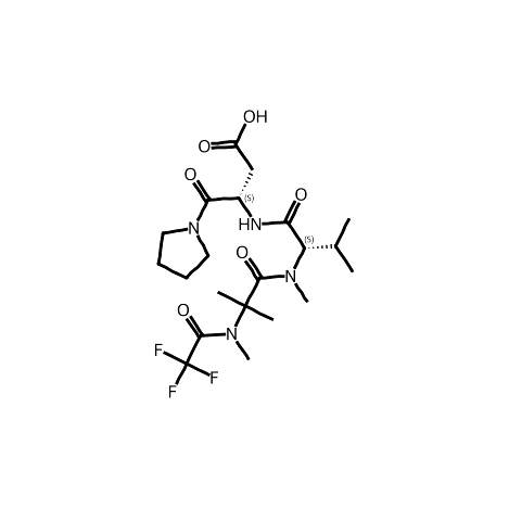 CC(C)[C@@H](C(=O)N[C@@H](CC(=O)O)C(=O)N1CCCC1)N(C)C(=O)C(C)(C)N(C)C(=O)C(F)(F)F